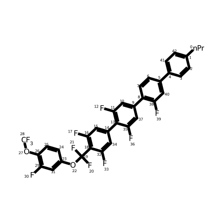 CCCc1ccc(-c2ccc(-c3cc(F)c(-c4cc(F)c(C(F)(F)Oc5ccc(OC(F)(F)F)c(F)c5)c(F)c4)c(F)c3)c(F)c2)cc1